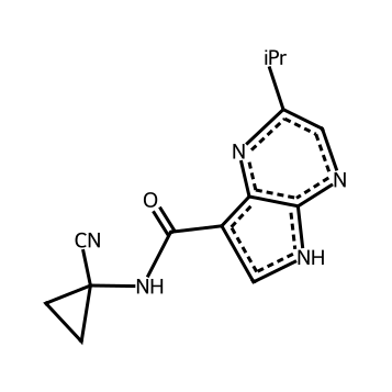 CC(C)c1cnc2[nH]cc(C(=O)NC3(C#N)CC3)c2n1